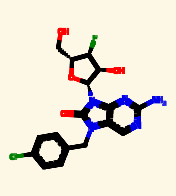 Nc1ncc2c(n1)n([C@@H]1O[C@H](CO)[C@@H](F)[C@H]1O)c(=O)n2Cc1ccc(Cl)cc1